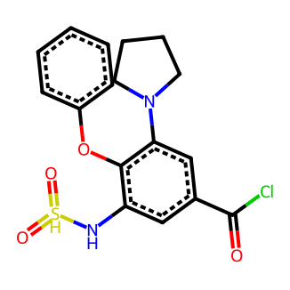 O=C(Cl)c1cc(N[SH](=O)=O)c(Oc2ccccc2)c(N2CCCC2)c1